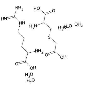 N=C(N)NCCCC(N)C(=O)O.NC(CSCC(=O)O)C(=O)O.O.O.O.O.O